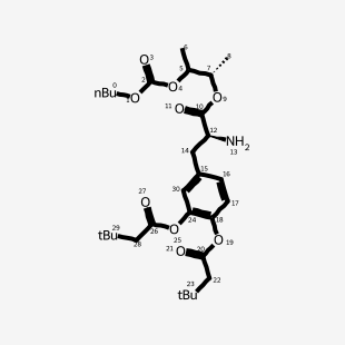 CCCCOC(=O)OC(C)[C@H](C)OC(=O)[C@@H](N)Cc1ccc(OC(=O)CC(C)(C)C)c(OC(=O)CC(C)(C)C)c1